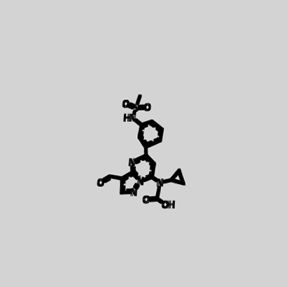 CS(=O)(=O)Nc1cccc(-c2cc(N(C(=O)O)C3CC3)n3ncc(C=O)c3n2)c1